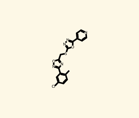 Cc1ccc(Cl)cc1-c1noc(CSc2nnc(-c3ccncc3)o2)n1